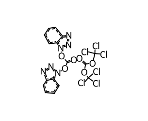 O=C(OC(Cl)(Cl)Cl)OC(Cl)(Cl)Cl.O=C(On1nnc2ccccc21)On1nnc2ccccc21